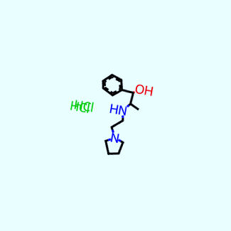 CC(NCCN1CCCC1)C(O)c1ccccc1.Cl.Cl